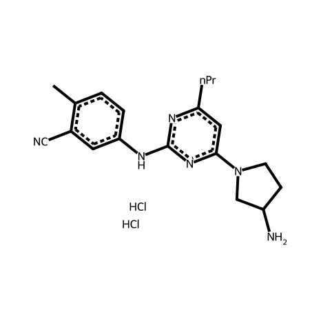 CCCc1cc(N2CCC(N)C2)nc(Nc2ccc(C)c(C#N)c2)n1.Cl.Cl